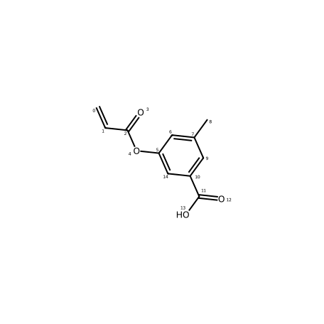 C=CC(=O)Oc1cc(C)cc(C(=O)O)c1